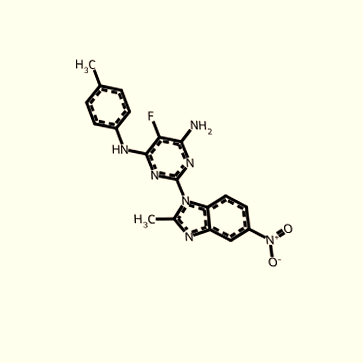 Cc1ccc(Nc2nc(-n3c(C)nc4cc([N+](=O)[O-])ccc43)nc(N)c2F)cc1